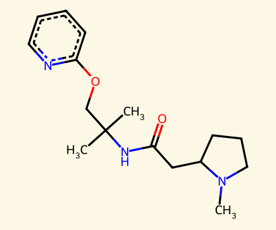 CN1CCCC1CC(=O)NC(C)(C)COc1ccccn1